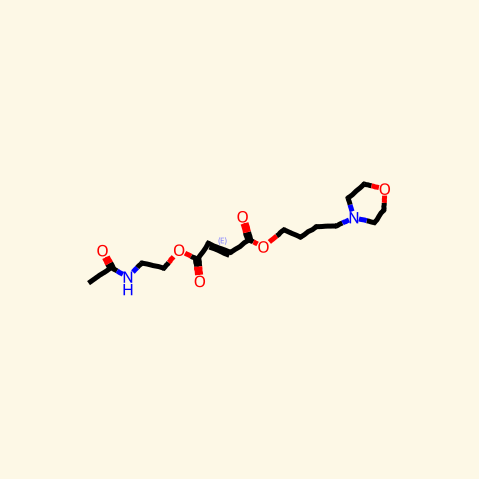 CC(=O)NCCOC(=O)/C=C/C(=O)OCCCCN1CCOCC1